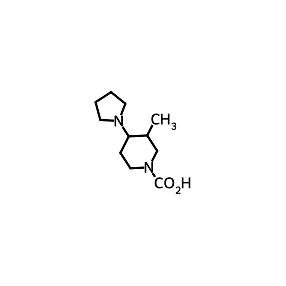 CC1CN(C(=O)O)CCC1N1CCCC1